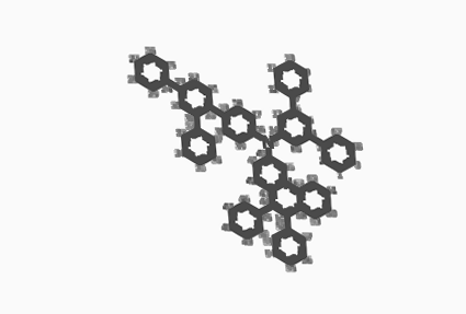 c1ccc(-c2cc(-c3ccccc3)cc(N(c3ccc(-c4ccc(-c5ccccc5)cc4-c4ccccc4)cc3)c3ccc4c(-c5ccccc5)c(-c5ccccc5)c5ccccc5c4c3)c2)cc1